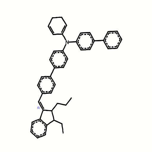 CCCC1/C(=C\c2ccc(-c3ccc(N(C4=CCCC=C4)c4ccc(-c5ccccc5)cc4)cc3)cc2)c2ccccc2C1CC